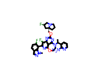 CC(c1cccnc1N)N1CCOc2nc(-c3c(F)ccc4cnn(C)c34)c(F)c3nc(OC[C@@]45CCCN4C[C@H](F)C5)nc1c23